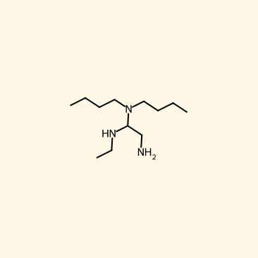 CCCCN(CCCC)C(CN)NCC